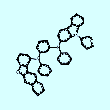 c1ccc(N(c2cccc(N(c3ccccc3)c3cccc4oc5cc6ccccc6cc5c34)c2)c2ccc3c4ccccc4n(-c4ccccc4)c3c2)cc1